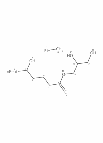 CCC.CCCCCC(O)CCCC(=O)OCC(O)CO